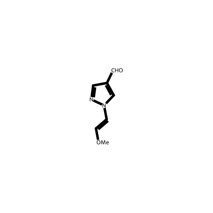 CO/C=C/n1cc(C=O)cn1